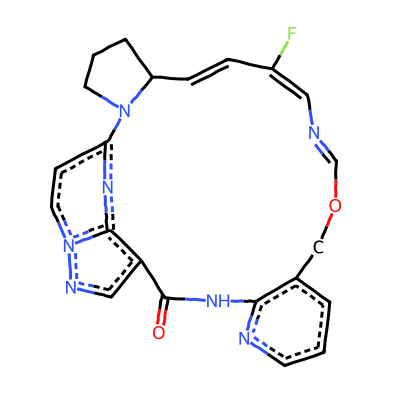 O=C1Nc2ncccc2CO/C=N/C=C(F)\C=C\C2CCCN2c2ccn3ncc1c3n2